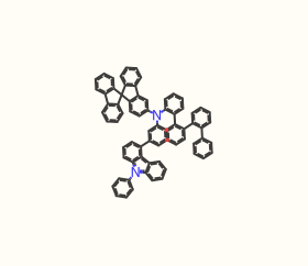 c1ccc(-c2ccccc2-c2ccccc2-c2ccccc2N(c2cccc(-c3cccc4c3c3ccccc3n4-c3ccccc3)c2)c2ccc3c(c2)-c2ccccc2C32c3ccccc3-c3ccccc32)cc1